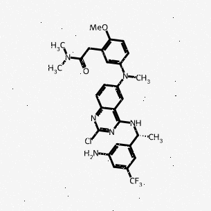 COc1ccc(N(C)c2ccc3nc(Cl)nc(N[C@H](C)c4cc(N)cc(C(F)(F)F)c4)c3c2)cc1CC(=O)N(C)C